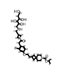 CC(C)OC(=O)N1CCC2(CC1)CC(CCOc1ccc(CC(=O)N3CC(CNC[C@H](O)[C@@H](O)[C@H](O)CCO)C3)c(F)c1)C2